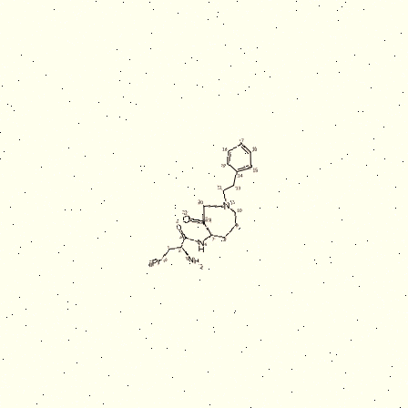 CC(C)C[C@H](N)C(=O)NC1CCCN(CCc2ccccc2)CC1=O